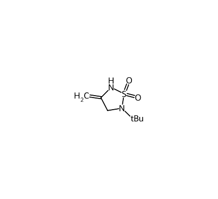 C=C1CN(C(C)(C)C)S(=O)(=O)N1